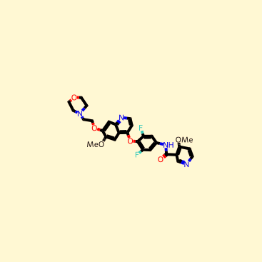 COc1cc2c(Oc3c(F)cc(NC(=O)c4cnccc4OC)cc3F)ccnc2cc1OCCN1CCOCC1